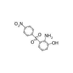 Nc1c(O)cccc1S(=O)(=O)c1ccc([N+](=O)[O-])cc1